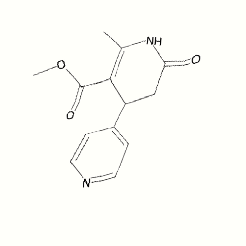 COC(=O)C1=C(C)NC(=O)CC1c1ccncc1